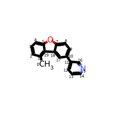 Cc1cccc2oc3ccc(-c4cccnc4)cc3c12